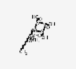 CCCCCCCCN(CC(O)[CH2][Gd][N]1CCN(CC(=O)O)CCN(CC(=O)O)CCN(CC(=O)O)CC1)S(C)(=O)=O